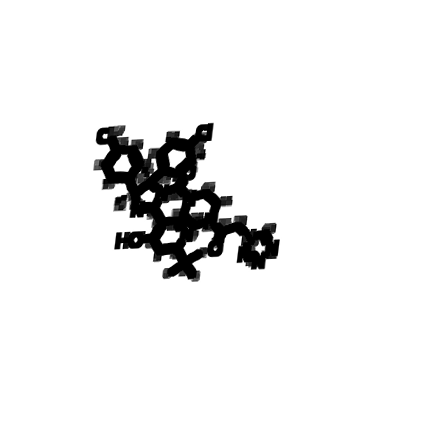 CC(C)(C)c1cc(O)c(C2=N[C@@](C)(c3ccc(Cl)cc3)[C@@](C)(c3ccc(Cl)cc3)N2C(=O)N2CCN(C(=O)Cn3cnnn3)CC2)cn1